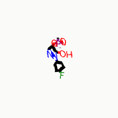 CP(C)(=O)Oc1cnn(-c2ccc(F)cc2)c1O